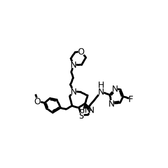 COc1ccc(CC2CN(CCCN3CCOCC3)CCC34C=C(Nc5ncc(F)cn5)NN3CSC24)cc1